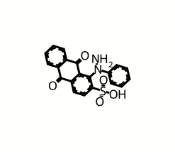 NN(c1ccccc1)c1c(S(=O)(=O)O)ccc2c1C(=O)c1ccccc1C2=O